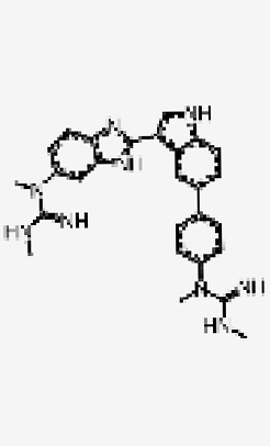 CNC(=N)N(C)c1ccc(-c2ccc3[nH]cc(-c4nc5ccc(N(C)C(=N)NC)cc5[nH]4)c3c2)cc1